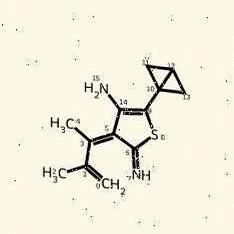 C=C(C)/C(C)=C1\C(=N)SC(C23CC2C3)=C1N